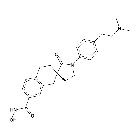 CN(C)CCc1ccc(N2CC[C@@]3(CCc4ccc(C(=O)NO)cc4C3)C2=O)cc1